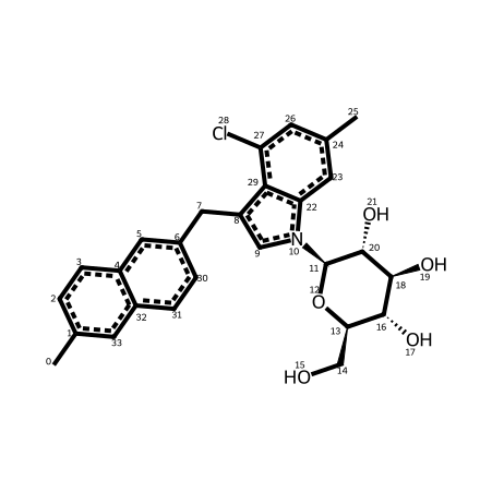 Cc1ccc2cc(Cc3cn([C@@H]4O[C@H](CO)[C@@H](O)[C@H](O)[C@H]4O)c4cc(C)cc(Cl)c34)ccc2c1